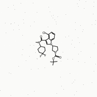 CN(C(=O)c1cn(C2CCN(C(=O)OC(C)(C)C)C2)c2cccc(Cl)c12)C1CCC(F)(F)CC1